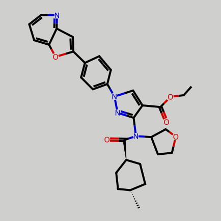 CCOC(=O)c1cn(-c2ccc(-c3cc4ncccc4o3)cc2)nc1N(C(=O)[C@H]1CC[C@H](C)CC1)C1CCOC1